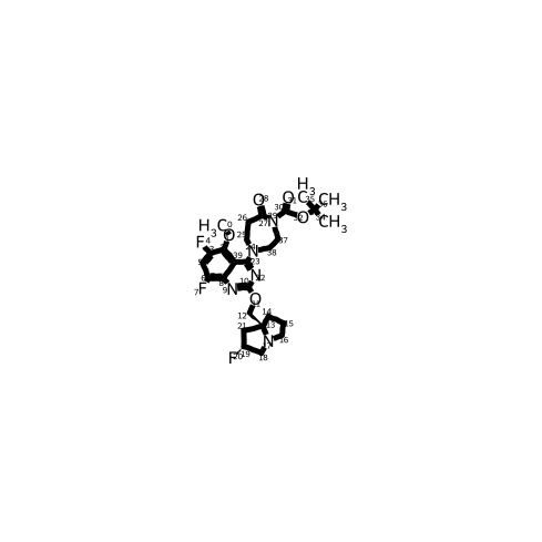 COc1c(F)cc(F)c2nc(OC[C@@]34CCCN3C[C@H](F)C4)nc(N3CCC(=O)N(C(=O)OC(C)(C)C)CC3)c12